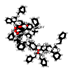 CC(C)(C[C@H]1[C@H](O[C@@H]2[C@H]3OC(=O)N[C@@H]3C[C@H](NC(=O)OCc3ccccc3)[C@H]2O[C@H]2O[C@@H]3CN(C(=O)OCc4ccccc4)C(c4ccccc4)O[C@H]3[C@H](O)[C@H]2NC(=O)OCc2ccccc2)O[C@H](CO[Si](c2ccccc2)(c2ccccc2)C(C)(C)C)[C@H]1O[C@H]1O[C@H]2CN(C(=O)OCc3ccccc3)C(c3ccccc3)O[C@H]2[C@H](O)[C@H]1NC(=O)OCc1ccccc1)[Si](O)(c1ccccc1)c1ccccc1